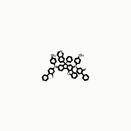 CC(C)(C)c1ccc(N(C2=CC=C(c3ccccc3)C(F)C2)c2ccc3c(c2)[C@](c2ccccc2)(c2ccc4ccncc4c2)c2cc(N(c4ccc(C(C)(C)C)cc4)c4ccc(-c5ccccc5)c(F)c4)c4c(oc5ccccc54)c2-3)cc1